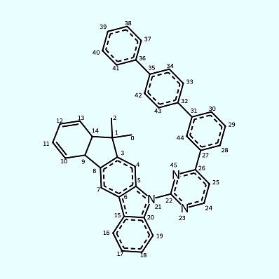 CC1(C)c2cc3c(cc2C2C=CC=CC21)c1ccccc1n3-c1nccc(-c2cccc(-c3ccc(-c4ccccc4)cc3)c2)n1